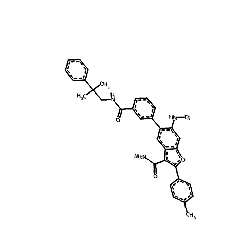 CCNc1cc2oc(-c3ccc(C)cc3)c(C(=O)NC)c2cc1-c1cccc(C(=O)NCC(C)(C)c2ccccc2)c1